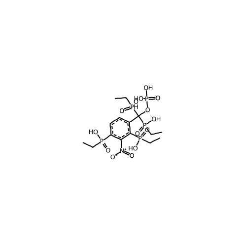 CCP(=O)(O)c1ccc(C(OP(=O)(O)O)(P(=O)(O)CC)P(=O)(O)CC)c(P(=O)(O)CC)c1[N+](=O)[O-]